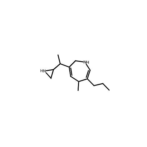 CCCC1=CNCC(C(C)C2CN2)=CC1C